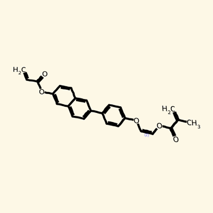 C=CC(=O)Oc1ccc2cc(-c3ccc(O/C=C\OC(=O)C(=C)C)cc3)ccc2c1